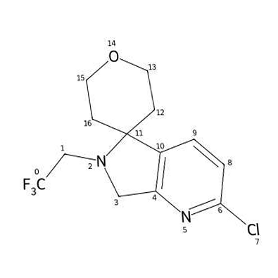 FC(F)(F)CN1Cc2nc(Cl)ccc2C12CCOCC2